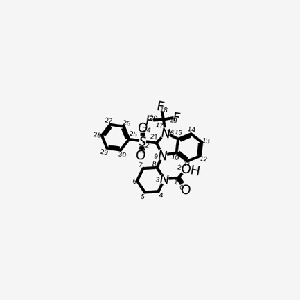 O=C(O)N1CCCCC1N1c2ccccc2N(C(F)(F)F)C1S(=O)(=O)c1ccccc1